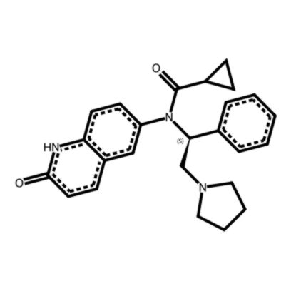 O=C(C1CC1)N(c1ccc2[nH]c(=O)ccc2c1)[C@H](CN1CCCC1)c1ccccc1